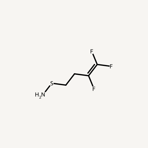 NSCCC(F)=C(F)F